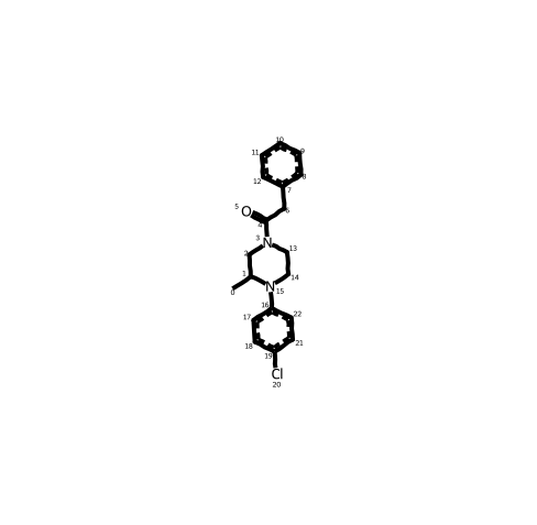 CC1CN(C(=O)Cc2ccccc2)CCN1c1ccc(Cl)cc1